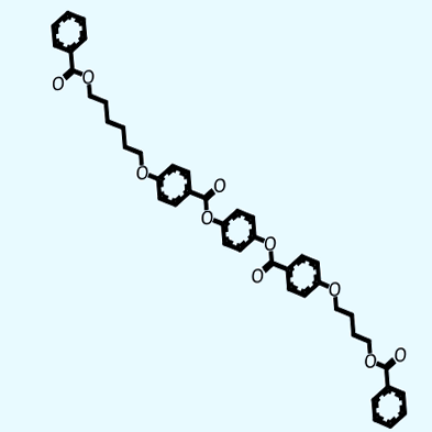 O=C(OCCCCCCOc1ccc(C(=O)Oc2ccc(OC(=O)c3ccc(OCCCCOC(=O)c4ccccc4)cc3)cc2)cc1)c1ccccc1